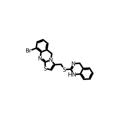 Brc1cccc2c1N=C1SC=C(CSC3=NCc4ccccc4N3)N1C2